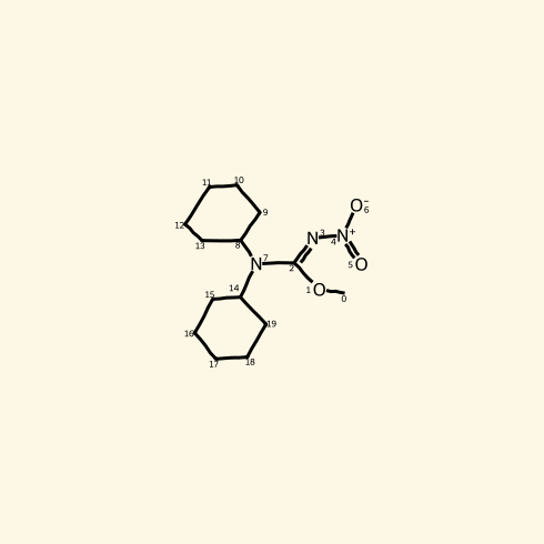 CO/C(=N\[N+](=O)[O-])N(C1CCCCC1)C1CCCCC1